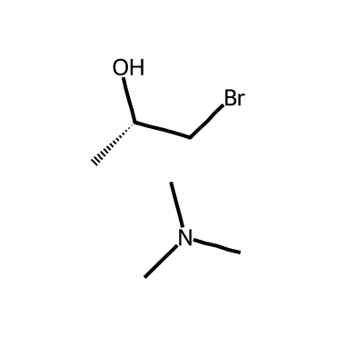 CN(C)C.C[C@H](O)CBr